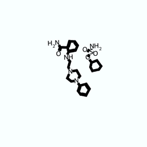 NC(=O)c1ccccc1NCCN1CCN(c2ccccc2)CC1.NS(=O)(=O)OC1CCCCC1